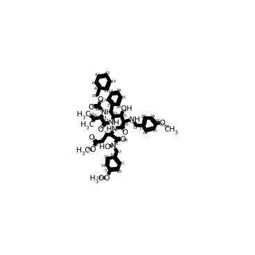 COC(=O)CCC(NC(=O)C(NCc1ccc(OC)cc1)C(O)C(Cc1ccccc1)NC(=O)C(NC(=O)OCc1ccccc1)C(C)C)C(=O)N(O)Cc1ccc(OC)cc1